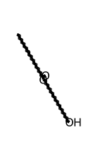 CCCCCCCCC=CCCCCCCCCCCCC(=O)OCCCCCCCCCCCCCCCCCCCCO